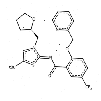 CC(C)(C)c1cn(C[C@H]2CCCO2)/c(=N/C(=O)c2cc(C(F)(F)F)ccc2OCc2ccccn2)s1